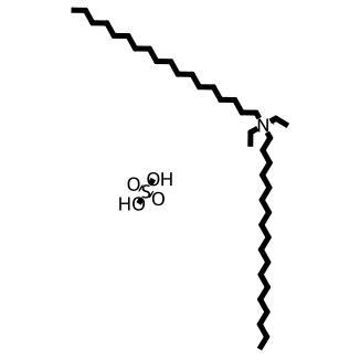 CCCCCCCCCCCCCCCCCC[N+](CC)(CC)CCCCCCCCCCCCCCCCCC.O=S(=O)(O)O